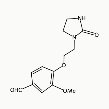 COc1cc(C=O)ccc1OCCN1CCNC1=O